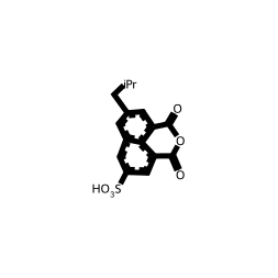 CC(C)Cc1cc2c3c(cc(S(=O)(=O)O)cc3c1)C(=O)OC2=O